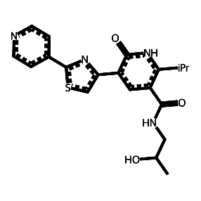 CC(O)CNC(=O)c1cc(-c2csc(-c3ccncc3)n2)c(=O)[nH]c1C(C)C